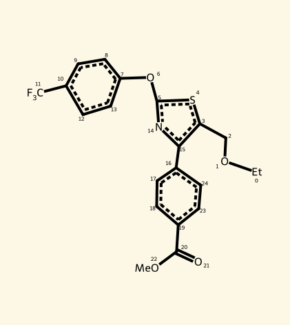 CCOCc1sc(Oc2ccc(C(F)(F)F)cc2)nc1-c1ccc(C(=O)OC)cc1